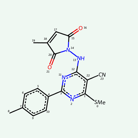 CSc1nc(-c2ccc(C)cc2)nc(NN2C(=O)C=C(C)C2=O)c1C#N